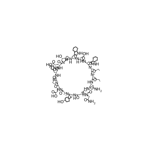 CCCC[C@H]1C(=O)N(C)[C@@H](CCCC)C(=O)N[C@@H](CCN)C(=O)N[C@H](C(=O)NCC(N)=O)CSCC(=O)N[C@@H](Cc2ccc(O)cc2)C(=O)N(C)[C@@H](C)C(=O)N[C@@H](CCC(=O)O)C(=O)N2CCC[C@H]2C(=O)N[C@@H](Cc2cnc[nH]2)C(=O)N[C@@H](CCC(=O)O)C(=O)N2C[C@H](O)C[C@H]2C(=O)N[C@@H](Cc2c[nH]c3ccccc23)C(=O)N[C@@H](CCO)C(=O)N[C@@H](Cc2c[nH]c3ccccc23)C(=O)N1C